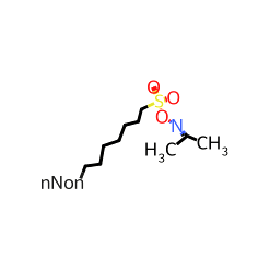 CCCCCCCCCCCCCCCCS(=O)(=O)ON=C(C)C